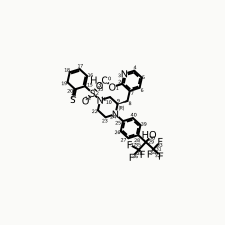 COc1ncccc1C[C@@H]1CN(S(=O)(=O)C2=CC=CCC2=S)CCN1c1ccc(C(O)(C(F)(F)F)C(F)(F)F)cc1